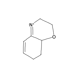 C1=CC2=[N+]CCOC2CC1